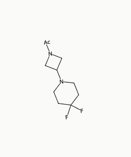 CC(=O)N1CC(N2CCC(F)(F)CC2)C1